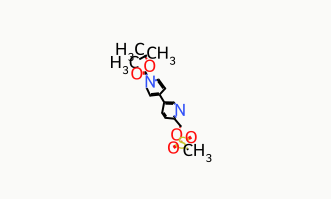 CC(C)(C)OC(=O)N1C=CC(c2ccc(COS(C)(=O)=O)nc2)=CC1